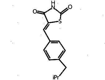 CC(C)Cc1ccc(/C=C2\SC(=O)NC2=O)cc1